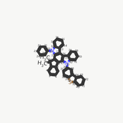 CC1(C)c2ccccc2-c2c1c1c(c3ccccc3n1-c1ccccc1)c1c3ccccc3n(-c3ccc4sc5ccccc5c4c3)c21